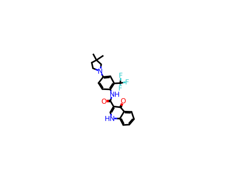 CC1(C)CCN(c2ccc(NC(=O)c3c[nH]c4ccccc4c3=O)c(C(F)(F)F)c2)C1